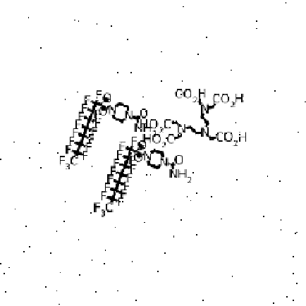 NC(=O)N1CCN(S(=O)(=O)C(F)(F)C(F)(F)C(F)(F)C(F)(F)C(F)(F)C(F)(F)C(F)(F)C(F)(F)F)CC1.NC(=O)N1CCN(S(=O)(=O)C(F)(F)C(F)(F)C(F)(F)C(F)(F)C(F)(F)C(F)(F)C(F)(F)C(F)(F)F)CC1.O=C(O)CN(CCN(CC(=O)O)CC(=O)O)CCN(CC(=O)O)CC(=O)O